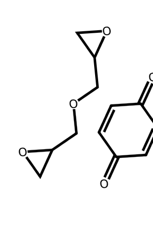 C(OCC1CO1)C1CO1.O=C1C=CC(=O)C=C1